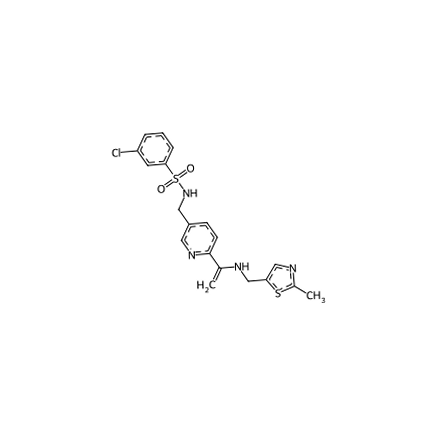 C=C(NCc1cnc(C)s1)c1ccc(CNS(=O)(=O)c2cccc(Cl)c2)cn1